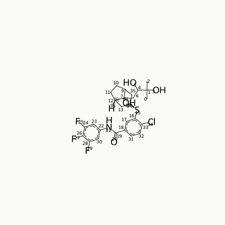 CC(C)(O)C(O)C[C@@]1(O)C2CC[C@H]1C[C@H](Sc1cc(C(=O)Nc3cc(F)c(F)c(F)c3)ccc1Cl)C2